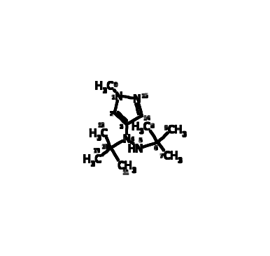 Cn1cc(N(NC(C)(C)C)C(C)(C)C)cn1